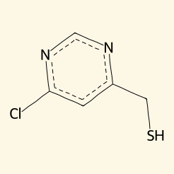 SCc1cc(Cl)ncn1